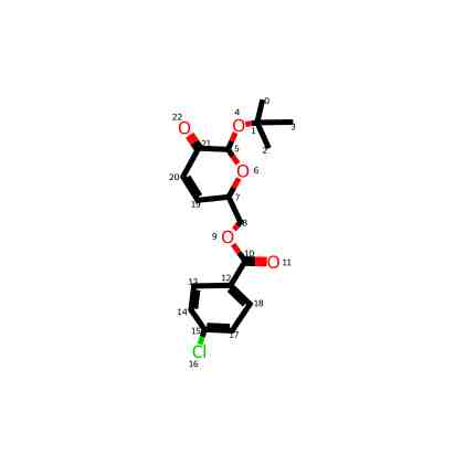 CC(C)(C)OC1OC(COC(=O)c2ccc(Cl)cc2)C=CC1=O